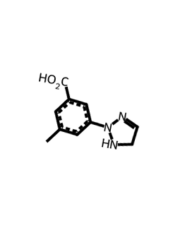 Cc1cc(C(=O)O)cc(N2N=CCN2)c1